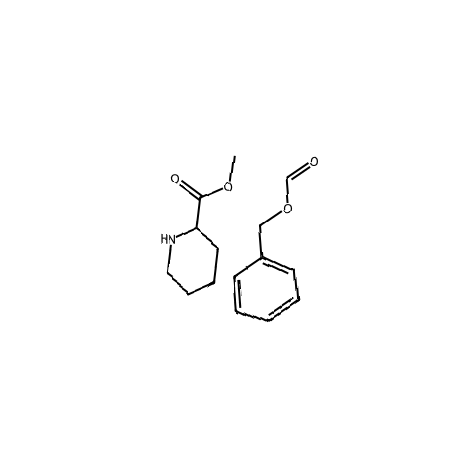 COC(=O)C1CCCCN1.O=COCc1ccccc1